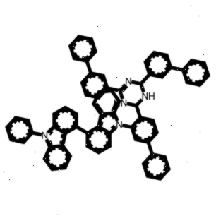 C1=c2c(n(-c3cc(-c4ccccc4)ccc3C3NC(c4cccc(-c5ccccc5)c4)=NC(c4cccc(-c5ccccc5)c4)N3)c3cccc(-c4cccc5c4c4ccccc4n5-c4ccccc4)c23)=CCC1